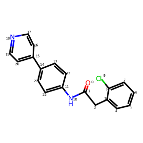 O=C(Cc1ccccc1Cl)Nc1ccc(-c2ccncc2)cc1